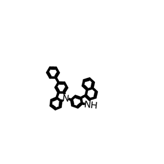 c1ccc(-c2ccc3c(c2)c2ccccc2n3-c2ccc3[nH]c4ccc5ccccc5c4c3c2)cc1